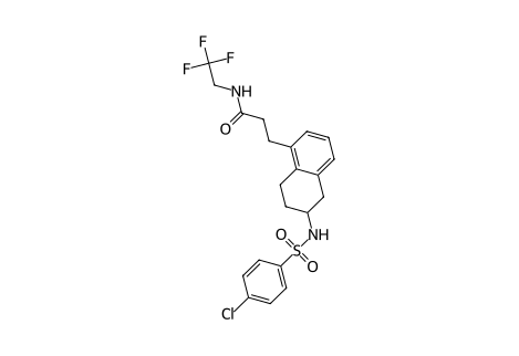 O=C(CCc1cccc2c1CCC(NS(=O)(=O)c1ccc(Cl)cc1)C2)NCC(F)(F)F